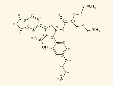 CCCCN(CCCC)C(=O)CN1CC(c2ccc3c(c2)OCO3)C(C(=O)O)C1c1ccc(OCCC)cc1